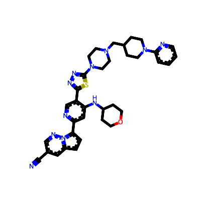 N#Cc1cnn2c(-c3cc(NC4CCOCC4)c(-c4nnc(N5CCN(CC6CCN(c7ccccn7)CC6)CC5)s4)cn3)ccc2c1